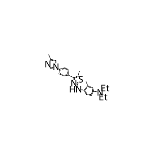 CCN(CC)c1ccc(Nc2nc(-c3ccc(-n4cnc(C)c4)cc3)c(C)s2)c(C)c1